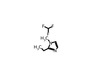 CCc1nccn1C.FC(F)F